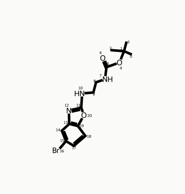 CC(C)(C)OC(=O)NCCNc1nc2cc(Br)ccc2o1